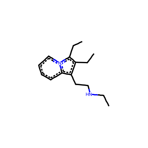 CCNCCc1c(CC)c(CC)n2ccccc12